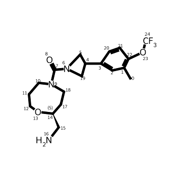 Cc1cc(C2CN(C(=O)N3CCCO[C@H](CN)CC3)C2)ccc1OC(F)(F)F